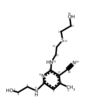 Cc1cc(NCCO)nc(NCCSCCO)c1C#N